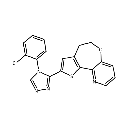 Clc1ccccc1-n1cnnc1-c1cc2c(s1)-c1ncccc1OCC2